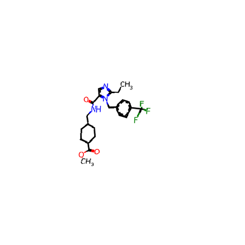 CCc1ncc(C(=O)NCC2CCC(C(=O)OC)CC2)n1Cc1ccc(C(F)(F)F)cc1